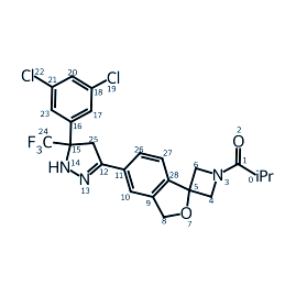 CC(C)C(=O)N1CC2(C1)OCc1cc(C3=NNC(c4cc(Cl)cc(Cl)c4)(C(F)(F)F)C3)ccc12